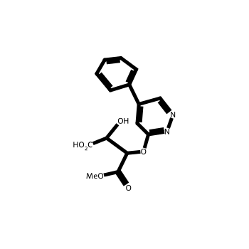 COC(=O)C(Oc1cc(-c2ccccc2)cnn1)C(O)C(=O)O